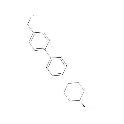 CCCCC[C@H]1CC[C@H](c2ccc(-c3ccc(CBr)cc3)cc2)CC1